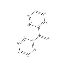 C=C(c1[c]cccc1)c1ccccn1